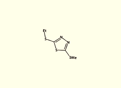 [CH2]Sc1nnc(SCC)s1